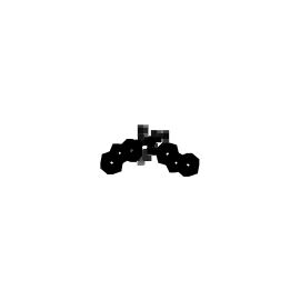 CN(C(=N)Nc1ccc2c(c1)Cc1ccccc1-2)c1ccc2c(c1)Cc1ccccc1-2